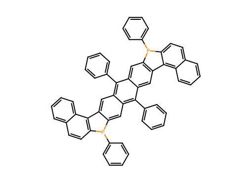 c1ccc(-c2c3cc4c5c6ccccc6ccc5p(-c5ccccc5)c4cc3c(-c3ccccc3)c3cc4c5c6ccccc6ccc5p(-c5ccccc5)c4cc23)cc1